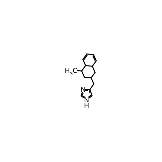 CC1CC(Cc2c[nH]cn2)CC2C=CC=CC12